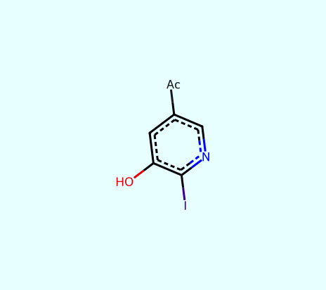 CC(=O)c1cnc(I)c(O)c1